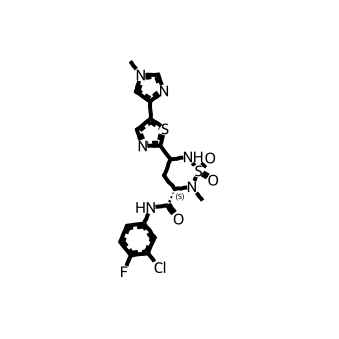 CN1[C@H](C(=O)Nc2ccc(F)c(Cl)c2)CC(c2ncc(-c3cn(C)cn3)s2)NS1(=O)=O